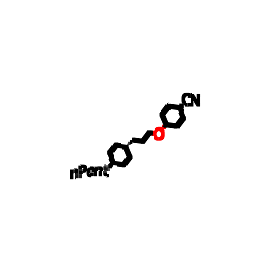 CCCCC[C@H]1CC[C@H](CCCOC2CCC(C#N)CC2)CC1